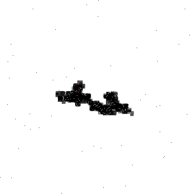 CCn1nc(C)cc1C(=O)Nc1nc2cc(C(N)=O)ccc2n1CCCCn1c(NC)nc2cc(C(=O)NCCNC(=O)c3ccc4c(c3)C(=O)OC43c4ccc(N)c(SO)c4Oc4c3ccc(N)c4S(=O)(=O)O)ccc21